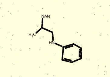 CNC(C)CNc1ccccc1